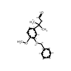 COc1ccc(C(C)(C)CC=O)cc1OCc1ccccc1